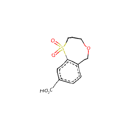 O=C(O)c1ccc2c(c1)S(=O)(=O)CCOC2